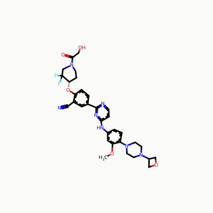 COc1cc(Nc2ccnc(-c3ccc(O[C@H]4CCN(C(=O)CO)CC4(F)F)c(C#N)c3)n2)ccc1N1CCN(C2COC2)CC1